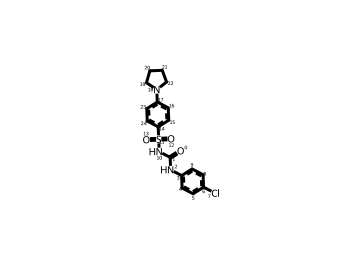 O=C(Nc1ccc(Cl)cc1)NS(=O)(=O)c1ccc(N2CCCC2)cc1